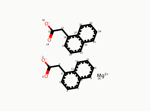 O=C([O-])Cc1cccc2ccccc12.O=C([O-])Cc1cccc2ccccc12.[Mg+2]